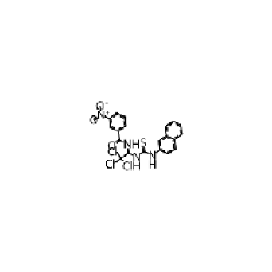 O=C(NC(NC(=S)Nc1ccc2ccccc2c1)C(Cl)(Cl)Cl)c1cccc([N+](=O)[O-])c1